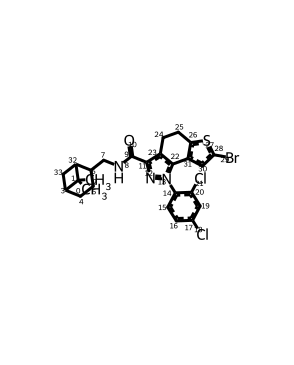 CC1(C)C2CCC(CNC(=O)c3nn(-c4ccc(Cl)cc4Cl)c4c3CCc3sc(Br)cc3-4)C1C2